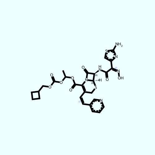 CC(OC(=O)OCC1CCC1)OC(=O)C1=C(/C=C\c2cccnc2)CS[C@@H]2[C@H](NC(=O)/C(=N\O)c3csc(N)n3)C(=O)N12